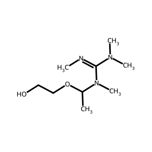 CN=C(N(C)C)N(C)C(C)OCCO